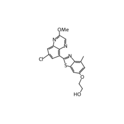 COc1cnc2c(-c3nc4c(C)cc(OCCO)cc4s3)cc(Cl)cc2n1